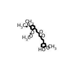 CCN(CC)c1ccc(C=CC(=O)CC(=O)C=Cc2ccc(O)c(OC)c2)c(OCOC)c1